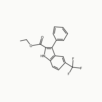 CCOC(=O)c1[nH]c2ccc(C(F)(F)F)cc2c1-c1ccccc1